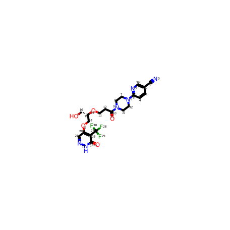 N#Cc1ccc(N2CCN(C(=O)CCO[C@@H](CO)COc3cn[nH]c(=O)c3C(F)(F)F)CC2)nc1